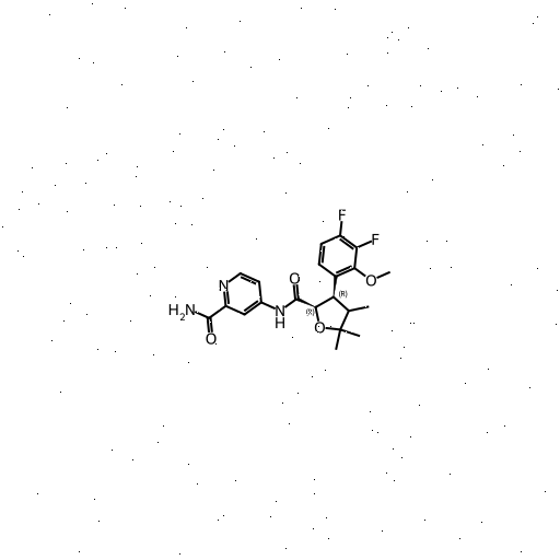 COc1c([C@H]2C(C)C(C)(C)O[C@H]2C(=O)Nc2ccnc(C(N)=O)c2)ccc(F)c1F